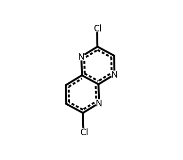 Clc1cnc2nc(Cl)ccc2n1